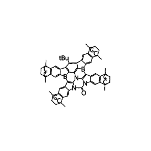 CC(C)(C)c1c2c3c4c5c1-c1cc6c(cc1B5c1c5cc7c(cc5n5c(=O)n8c9cc%10c(cc9c(c8n-4c15)B3c1cc3c(cc1-2)C1(C)CCC3(C)CC1)C1(C)CCC%10(C)CC1)C1(C)CCC7(C)CC1)C1(C)CCC6(C)CC1